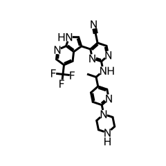 CC(Nc1ncc(C#N)c(-c2c[nH]c3ncc(C(F)(F)F)cc23)n1)c1ccc(N2CCNCC2)nc1